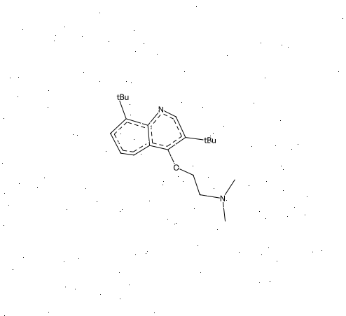 CN(C)CCOc1c(C(C)(C)C)cnc2c(C(C)(C)C)cccc12